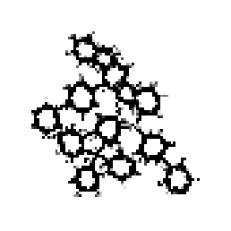 c1ccc(-c2ccc(-c3c4oc5c(N(c6ccc(-c7ccccc7)cc6)c6ccc7c(c6)C(c6ccccc6)(c6ccccc6)c6ccccc6-7)cccc5c4cc4oc5ccccc5c34)cc2)cc1